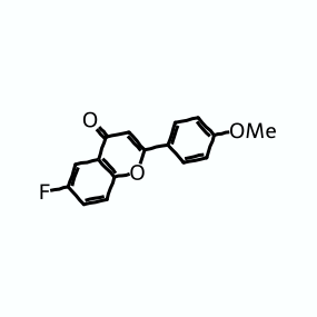 COc1ccc(-c2cc(=O)c3cc(F)ccc3o2)cc1